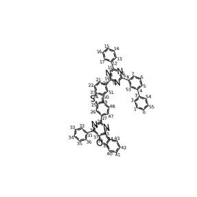 c1ccc(-c2cccc(-c3nc(-c4ccccc4)nc(-c4ccc5sc6cc(-c7nc(-c8ccccc8)c8oc9ccccc9c8n7)ccc6c5c4)n3)c2)cc1